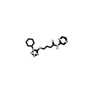 O=C(CCCSc1nnnn1C1CCCCC1)Nc1cnccn1